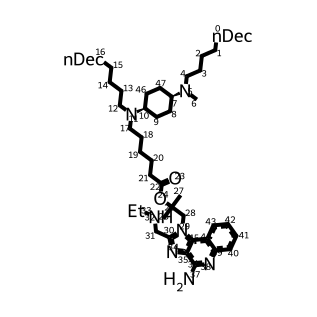 CCCCCCCCCCCCCCN(C)[C@H]1CC[C@@H](N(CCCCCCCCCCCCCC)CCCCCC(=O)OC(C)(C)Cn2c(CNCC)nc3c(N)nc4ccccc4c32)CC1